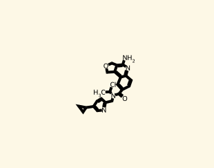 CC(C)N(Cc1ccc(C2CC2)cn1)C(=O)c1ccc2nc(N)c3c(c2c1)COC3